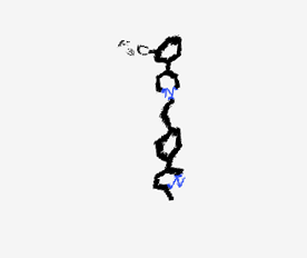 Cc1ccc(-c2ccc(CCN3CC=C(c4cccc(C(F)(F)F)c4)CC3)cc2)cn1